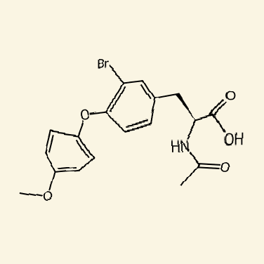 COc1ccc(Oc2ccc(C[C@H](NC(C)=O)C(=O)O)cc2Br)cc1